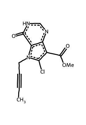 CC#CCn1c(Cl)c(C(=O)OC)c2nc[nH]c(=O)c21